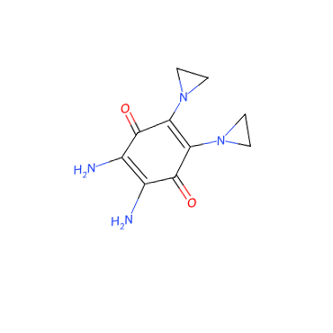 NC1=C(N)C(=O)C(N2CC2)=C(N2CC2)C1=O